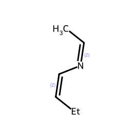 C/C=N\C=C/CC